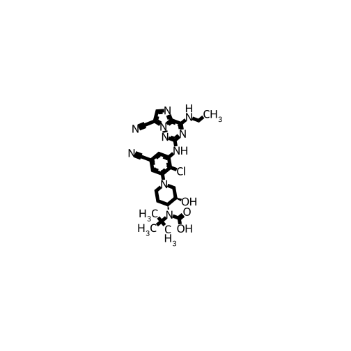 CCNc1nc(Nc2cc(C#N)cc(N3CC[C@@H](N(C(=O)O)C(C)(C)C)[C@H](O)C3)c2Cl)nn2c(C#N)cnc12